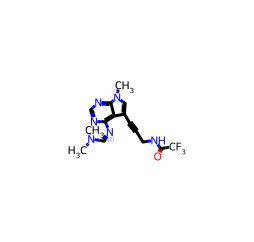 CN(C)/C=N\c1ncnc2c1c(C#CCNC(=O)C(F)(F)F)cn2C